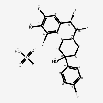 CS(=O)(=O)O.C[C@H]([C@H](O)c1cc(F)c(O)c(F)c1)N1CCC(O)(c2ccc(F)cc2)CC1